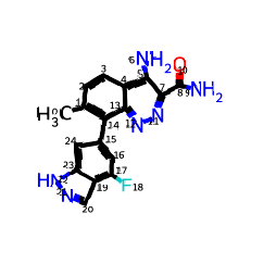 Cc1ccc2c(N)c(C(N)=O)nnc2c1-c1cc(F)c2cn[nH]c2c1